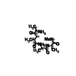 CNC(=O)C(C)NC(=O)C(C)NC(=O)C(C)CC(=O)C(C)N